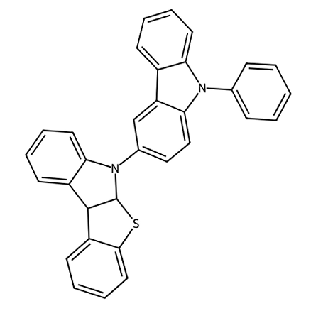 c1ccc(-n2c3ccccc3c3cc(N4c5ccccc5C5c6ccccc6SC54)ccc32)cc1